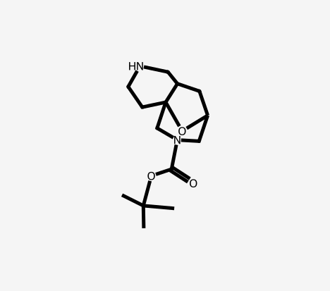 CC(C)(C)OC(=O)N1CC2CC3CNCCC3(C1)O2